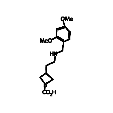 COc1ccc(CNCCC2CN(C(=O)O)C2)c(OC)c1